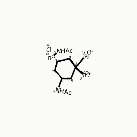 CC(=O)NC1CCCC(C(C)C)(C(C)C)C1.CC(=O)[NH][Ti+2].[Cl-].[Cl-]